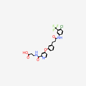 O=C(O)CCNC(=O)c1cc(Oc2cccc(CCC(=O)Nc3ccc(Cl)c(C(F)(F)F)c3)c2)ccn1